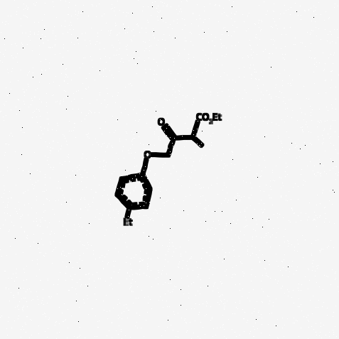 CCOC(=O)C(C)C(=O)COc1ccc(CC)cc1